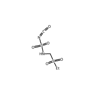 CCS(=O)(=O)CNS(=O)(=O)N=C=O